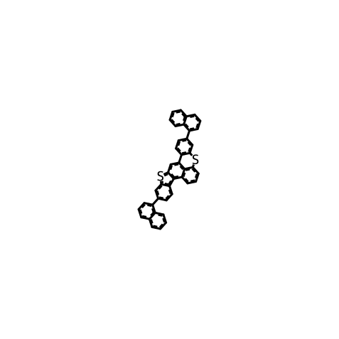 c1ccc2c(-c3ccc4c(c3)Sc3cccc5c3c-4cc3sc4cc(-c6cccc7ccccc67)ccc4c35)cccc2c1